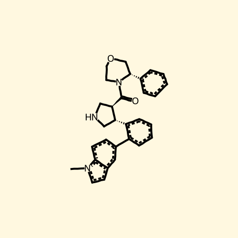 Cn1ccc2cc(-c3ccccc3[C@@H]3CNC[C@H]3C(=O)N3CCOC[C@@H]3c3ccccc3)ccc21